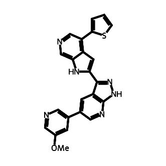 COc1cncc(-c2cnc3[nH]nc(-c4cc5c(-c6cccs6)cncc5[nH]4)c3c2)c1